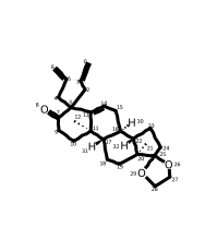 C=CCC1(CC=C)C(=O)CC[C@@]2(C)C1=CC[C@@H]1[C@@H]2CC[C@@]2(C)[C@H]1CCC21OCCO1